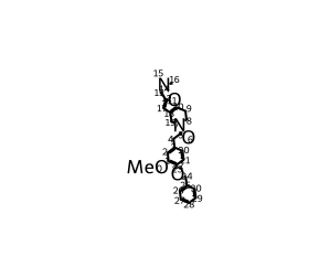 COc1cc(CC(=O)N2CCc3oc(CN(C)C)cc3C2)ccc1OCc1ccccc1